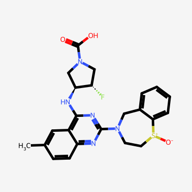 Cc1ccc2nc(N3CC[S+]([O-])c4ccccc4C3)nc(N[C@H]3CN(C(=O)O)C[C@@H]3F)c2c1